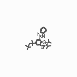 CC(C)[Si](Oc1c(Br)cc(C(C)(C)CC(C)(C)C)cc1-n1nc2ccccc2n1)(C(C)C)C(C)C